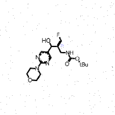 CC(C)(C)OC(=O)NC/C(=C/F)C(O)c1cnc(N2CCOCC2)nc1